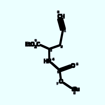 C#CCC(NC(=O)OC(C)(C)C)C(=O)OCC